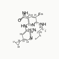 CC[C@H](N)[C@@H](C)Nc1nc(Nc2cncc(C3CC3)c2)c(C(N)=O)cc1F